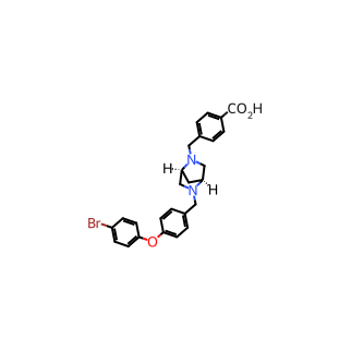 O=C(O)c1ccc(CN2C[C@@H]3C[C@H]2CN3Cc2ccc(Oc3ccc(Br)cc3)cc2)cc1